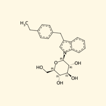 CCc1ccc(Cc2cn([C@@H]3O[C@H](CO)[C@@H](O)[C@H](O)[C@H]3O)c3ccccc23)cc1